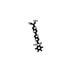 Cc1c(C)c(C)c2c(c1C)N/C(=c1/cc3s/c(=c4\cc5s/c(=C(/C#N)C=N)cc5s4)cc3s1)N2C